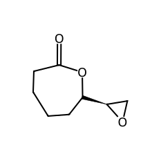 O=C1CCCCC([C@H]2CO2)O1